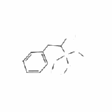 CCO[Si](OCC)(OCC)C(Cc1ccccc1)C(=O)O